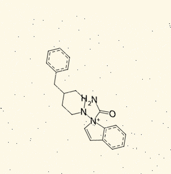 NC(=O)[N+]1(N2CCC(Cc3ccccc3)CC2)C=Cc2ccccc21